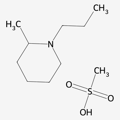 CCCN1CCCCC1C.CS(=O)(=O)O